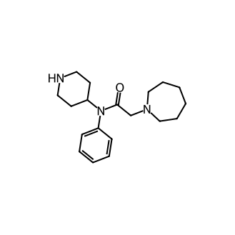 O=C(CN1CCCCCC1)N(c1ccccc1)C1CCNCC1